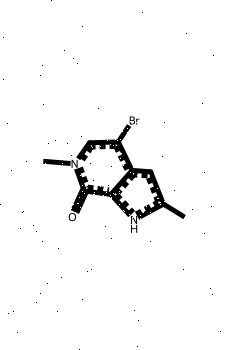 Cc1cc2c(Br)cn(C)c(=O)c2[nH]1